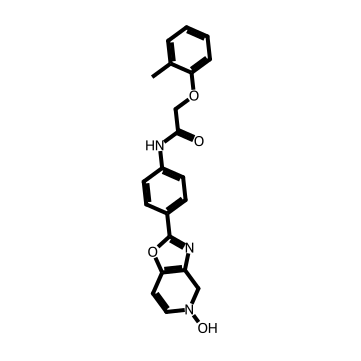 Cc1ccccc1OCC(=O)Nc1ccc(-c2nc3c(o2)C=CN(O)C3)cc1